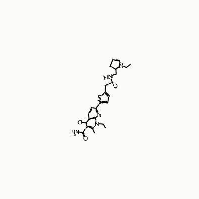 CCN1CCCC1CNC(=O)Cc1ccc(-c2ccc3c(=O)c(C(=O)NC)c(C)n(CC)c3n2)s1